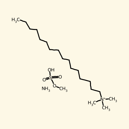 CCCCCCCCCCCCCCCC[N+](C)(C)C.COS(=O)(=O)O.N